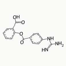 N=C(N)Nc1ccc(C(=O)Oc2ccccc2C(=O)O)cc1